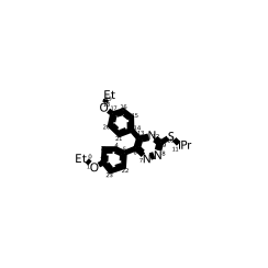 CCOc1ccc(-c2nnc(SC(C)C)nc2-c2ccc(OCC)cc2)cc1